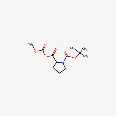 COC(=O)OC(=O)C1CCCN1C(=O)OC(C)(C)C